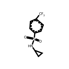 O=S(=O)(NC1CC1)c1ccc(C(F)(F)F)cc1